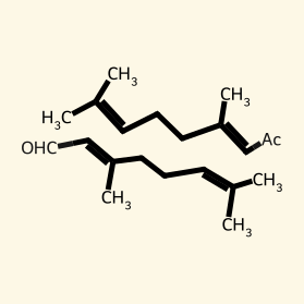 CC(=O)/C=C(\C)CCC=C(C)C.CC(C)=CCC/C(C)=C/C=O